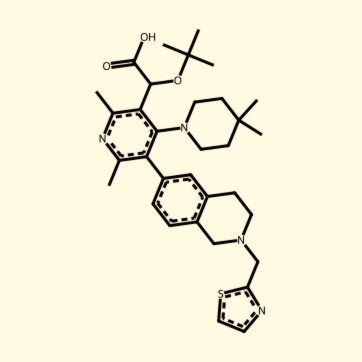 Cc1nc(C)c(C(OC(C)(C)C)C(=O)O)c(N2CCC(C)(C)CC2)c1-c1ccc2c(c1)CCN(Cc1nccs1)C2